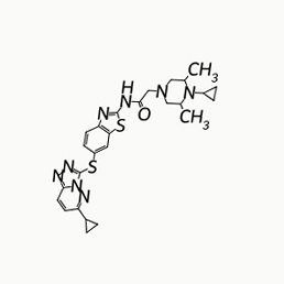 CC1CN(CC(=O)Nc2nc3ccc(Sc4nnc5ccc(C6CC6)nn45)cc3s2)CC(C)N1C1CC1